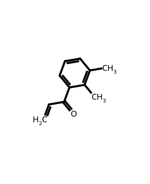 C=CC(=O)c1cccc(C)c1C